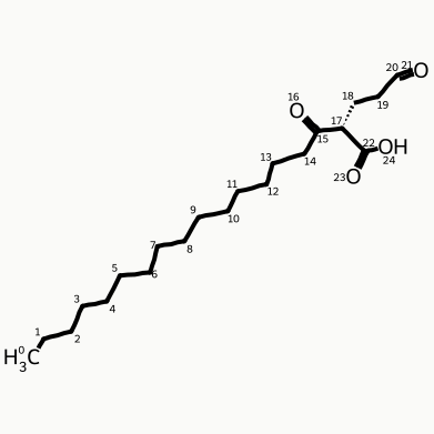 CCCCCCCCCCCCCCCC(=O)[C@H](CCC=O)C(=O)O